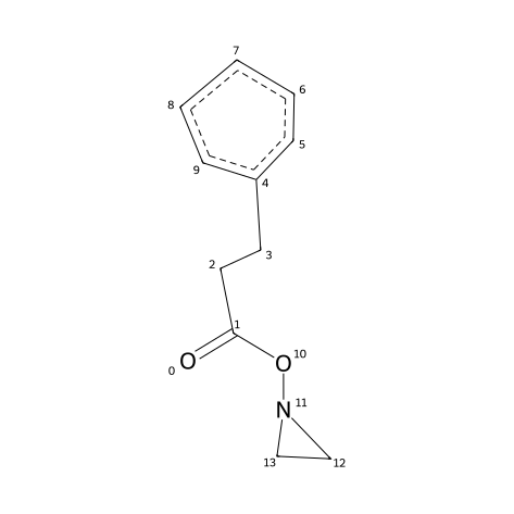 O=C(CCc1ccccc1)ON1CC1